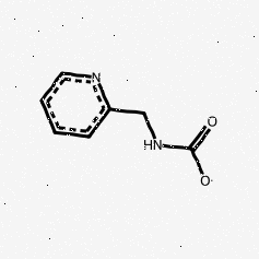 [O]C(=O)NCc1ccccn1